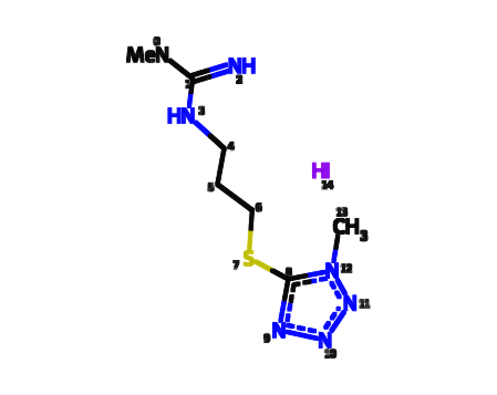 CNC(=N)NCCCSc1nnnn1C.I